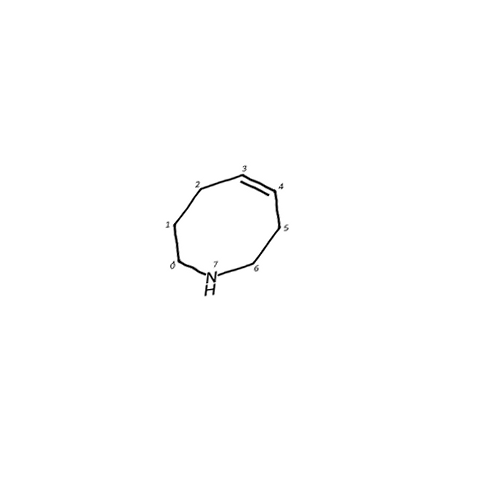 [CH]1CCC=CCCN1